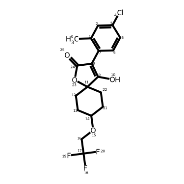 Cc1cc(Cl)ccc1C1=C(O)C2(CCC(OCC(F)(F)F)CC2)OC1=O